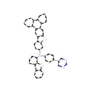 c1ccc2c(c1)sc1c(N(c3ccc(-c4cncnc4)cc3)c3ccc4c(c3)oc3cc5c6ccccc6c6ccccc6c5cc34)cccc12